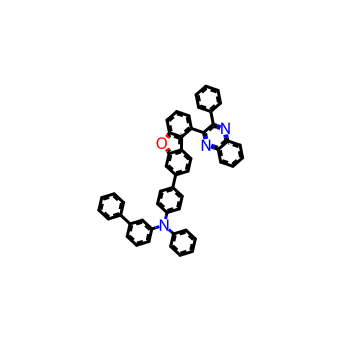 c1ccc(-c2cccc(N(c3ccccc3)c3ccc(-c4ccc5c(c4)oc4cccc(-c6nc7ccccc7nc6-c6ccccc6)c45)cc3)c2)cc1